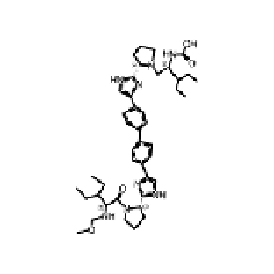 CCC(CC)[C@H](NCOC)C(=O)N1CCC[C@H]1c1nc(-c2ccc(-c3ccc(-c4c[nH]c([C@@H]5CCCN5C[C@@H](NC(=O)O)C(CC)CC)n4)cc3)cc2)c[nH]1